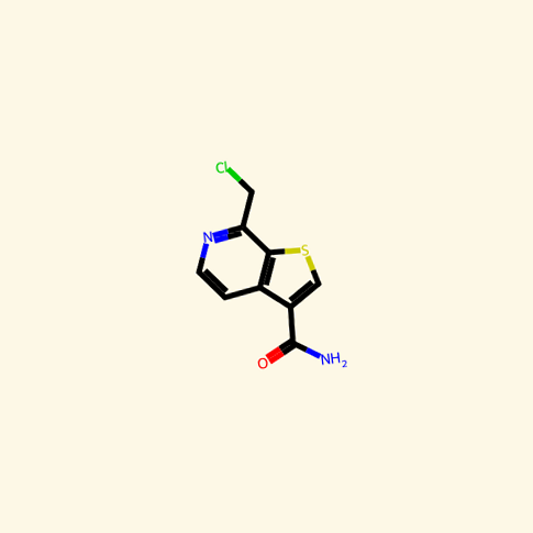 NC(=O)c1csc2c(CCl)nccc12